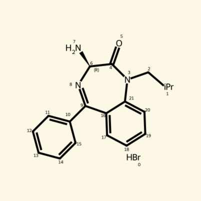 Br.CC(C)CN1C(=O)[C@H](N)N=C(c2ccccc2)c2ccccc21